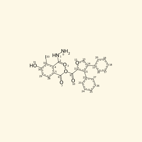 NNC(=O)c1c(C(=O)OC(=O)c2occ(-c3ccccc3)c2-c2ccccc2)ccc(O)c1I